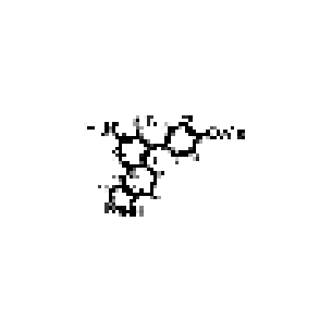 COc1ccc(-c2c(C#N)c(N)nc3c2CCc2[nH]ncc2-3)cc1